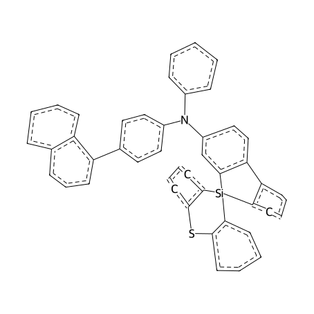 c1ccc(N(c2ccc(-c3cccc4ccccc34)cc2)c2ccc3c(c2)[Si]2(c4ccccc4Sc4ccccc42)c2ccccc2-3)cc1